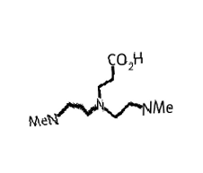 CNCCN(CCNC)CCC(=O)O